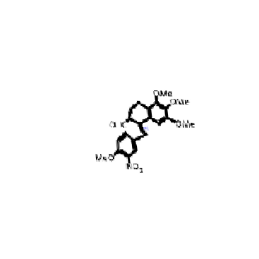 COc1ccc(/C=C2/c3cc(OC)c(OC)c(OC)c3CCC2C=O)cc1[N+](=O)[O-]